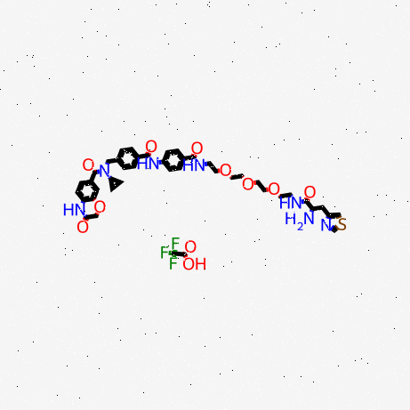 NC(Cc1cscn1)C(=O)NCCOCCOCCOCCNC(=O)c1ccc(NC(=O)c2ccc(CN(C(=O)c3ccc4c(c3)OCC(=O)N4)C3CC3)cc2)cc1.O=C(O)C(F)(F)F